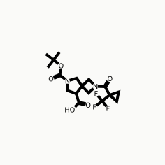 CC(C)(C)OC(=O)N1CC(C(=O)O)C2(C1)CN(C(=O)C1(C(F)(F)F)CC1)C2